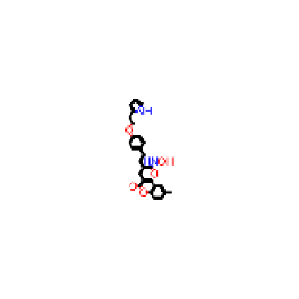 Cc1ccc2oc(=O)c(CC(CCc3ccc(OCCc4ccc[nH]4)cc3)C(=O)NO)cc2c1